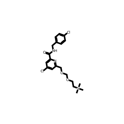 C[Si](C)(C)CCOCOCc1cc(Cl)cc(C(=O)NCc2ccc(Cl)cc2)n1